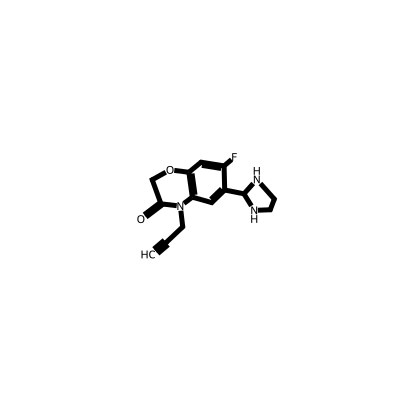 C#CCN1C(=O)COc2cc(F)c(C3NCCN3)cc21